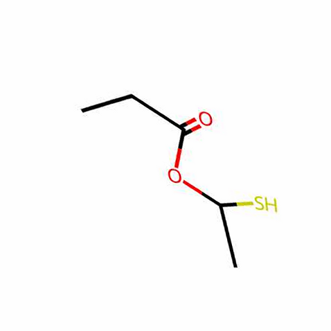 CCC(=O)OC(C)S